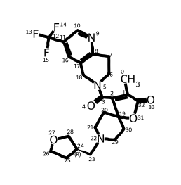 CC1=C(C(=O)N2CCc3ncc(C(F)(F)F)cc3C2)C2(CCN(C[C@H]3CCOC3)CC2)OC1=O